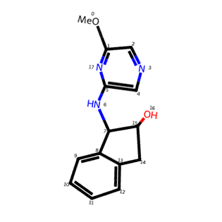 COc1cncc(NC2c3ccccc3CC2O)n1